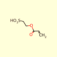 C=CC(=O)OCCS(=O)(=O)O